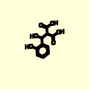 O=C(O)C(C(=O)O)C(O)c1ccccc1O